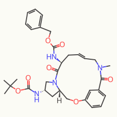 CN1C/C=C/C[C@H](NC(=O)OCc2ccccc2)C(=O)N2C[C@@H](NC(=O)OC(C)(C)C)C[C@H]2COc2cccc(c2)C1=O